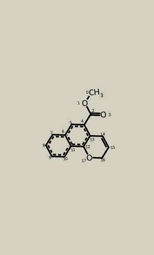 COC(=O)c1cc2ccccc2c2c1C=CCO2